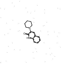 O=c1[nH]c2ccccc2cc1N1CCCCC1